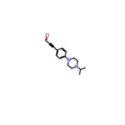 CC(C)N1CCN(c2ccc(C#CC=O)cc2)CC1